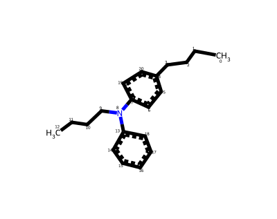 CCCCc1ccc(N(CCCC)c2ccccc2)cc1